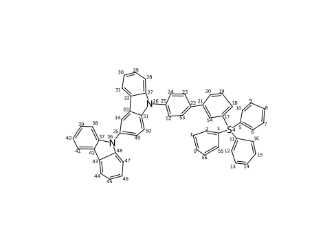 c1ccc(S(c2ccccc2)(c2ccccc2)c2cccc(-c3ccc(-n4c5ccccc5c5cc(-n6c7ccccc7c7ccccc76)ccc54)cc3)c2)cc1